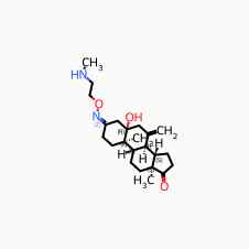 C=C1C[C@@]2(O)C/C(=N\OCCNC)CC[C@]2(C)[C@H]2CC[C@]3(C)C(=O)CC[C@H]3[C@H]12